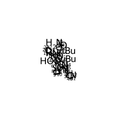 CC[C@H](C)[C@@H](C(=O)N[C@@H](Cc1ccccc1)[C@@H](O)CN(Cc1ccccc1)NC(=O)C(OC(N)=O)C(C)(C)C)N1CCN(Cc2cccnc2)C1=O